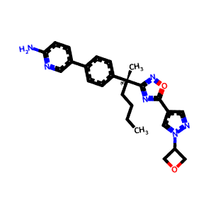 CCCC[C@](C)(c1ccc(-c2ccc(N)nc2)cc1)c1noc(-c2cnn(C3COC3)c2)n1